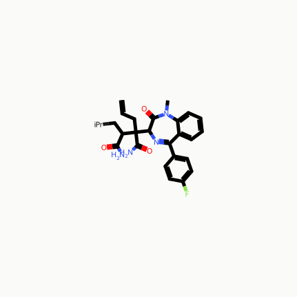 C=CCC(C(N)=O)(C(CC(C)C)C(N)=O)C1N=C(c2ccc(F)cc2)c2ccccc2N(C)C1=O